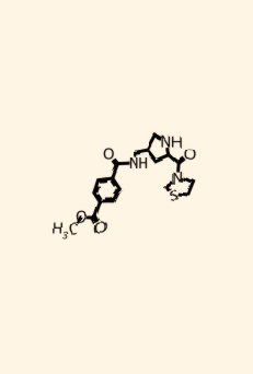 COC(=O)c1ccc(C(=O)NCC2CNC(C(=O)N3CCSC3)C2)cc1